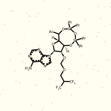 CC(=O)C1O[Si](C(C)C)(C(C)C)O[Si](C(C)C)(C(C)C)O[C@H]2[C@@H](OCOCC(C(F)(F)F)C(F)(F)F)[C@@H](n3cnc4c(N)ncnc43)O[C@H]12